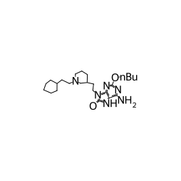 CCCCOc1nc(N)c2[nH]c(=O)n(CCC3CCCN(CCC4CCCCC4)C3)c2n1